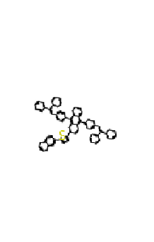 C(=C(c1ccccc1)c1ccccc1)c1ccc(-c2c3ccccc3c(-c3ccc(C=C(c4ccccc4)c4ccccc4)cc3)c3cc(-c4ccc(-c5ccc6ccccc6c5)s4)ccc23)cc1